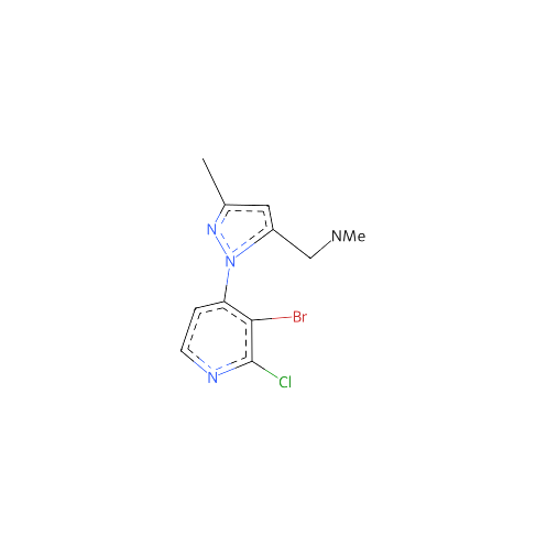 CNCc1cc(C)nn1-c1ccnc(Cl)c1Br